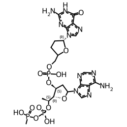 C[C@H](OP(=O)(O)OP(C)(=O)O)[C@H]1OC(n2cnc3c(N)ncnc32)C[C@@H]1OP(=O)(O)OCC1CC[C@H](n2cnc3c(=O)[nH]c(N)nc32)O1